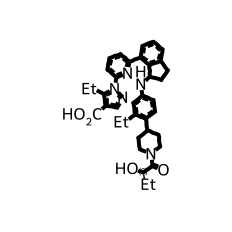 CCc1cc(NC2CCc3cccc(-c4cccc(-n5ncc(C(=O)O)c5CC)n4)c32)ccc1C1CCN(C(=O)[C@@H](O)CC)CC1